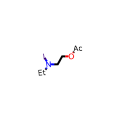 CCN(I)CCOC(C)=O